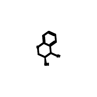 CC(C)C1c2ccccc2OC[C@@H]1O